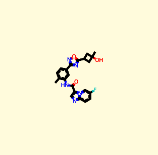 Cc1ccc(-c2noc(C3CC(C)(O)C3)n2)cc1NC(=O)c1cnc2ccc(F)cn12